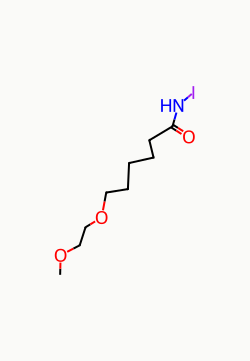 COCCOCCCCCC(=O)NI